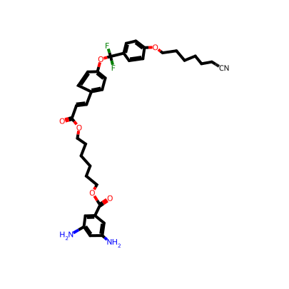 N#CCCCCCCOc1ccc(C(F)(F)Oc2ccc(C=CC(=O)OCCCCCCOC(=O)c3cc(N)cc(N)c3)cc2)cc1